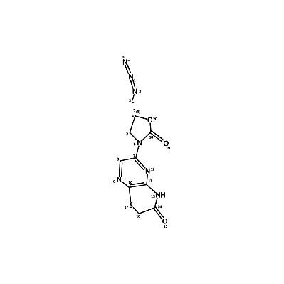 [N-]=[N+]=NC[C@H]1CN(c2cnc3c(n2)NC(=O)CS3)C(=O)O1